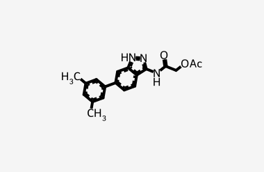 CC(=O)OCC(=O)Nc1n[nH]c2cc(-c3cc(C)cc(C)c3)ccc12